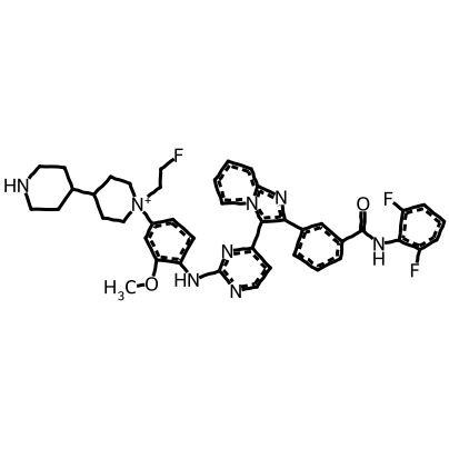 COc1cc([N+]2(CCF)CCC(C3CCNCC3)CC2)ccc1Nc1nccc(-c2c(-c3cccc(C(=O)Nc4c(F)cccc4F)c3)nc3ccccn23)n1